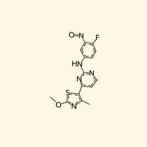 COc1nc(C)c(-c2ccnc(Nc3ccc(F)c(N=O)c3)n2)s1